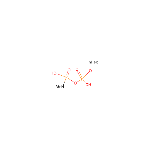 CCCCCCOP(=O)(O)OP(=O)(O)NC